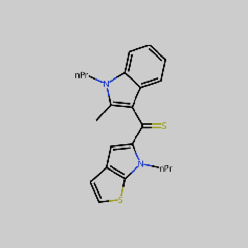 CCCn1c(C)c(C(=S)c2cc3ccsc3n2CCC)c2ccccc21